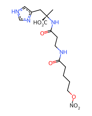 C[C@@](Cc1c[nH]cn1)(NC(=O)CCNC(=O)CCCCO[N+](=O)[O-])C(=O)O